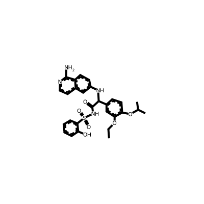 CCOc1cc(C(Nc2ccc3c(N)nccc3c2)C(=O)NS(=O)(=O)c2ccccc2O)ccc1OC(C)C